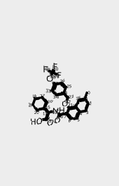 Cc1ccc2ccc(C(=O)NC(C(=O)O)C3CCCCC3)c(OCc3ccc(OC(F)(F)F)cc3)c2c1